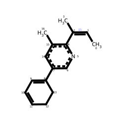 C/C=C(/C)c1ncc(C2=CC=CCC2)cc1C